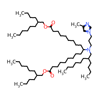 CCCCCCC(CCCC)COC(=O)CCCCCCCCC(CCCCCCCCC(=O)OCC(CCCC)CCCCCC)N(CCCn1cnc(C)c1)CC(CCCC)CCCCCC